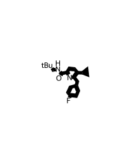 CC(C)(C)CNC(=O)c1ccc(C2CC2)c(Cc2ccc(F)cc2)n1